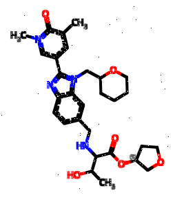 Cc1cc(-c2nc3ccc(CNC(C(=O)O[C@H]4CCOC4)C(C)O)cc3n2CC2CCCCO2)cn(C)c1=O